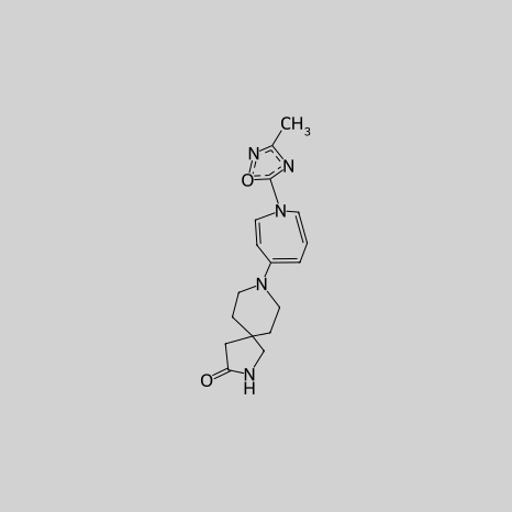 Cc1noc(N2C=CC=C(N3CCC4(CC3)CNC(=O)C4)C=C2)n1